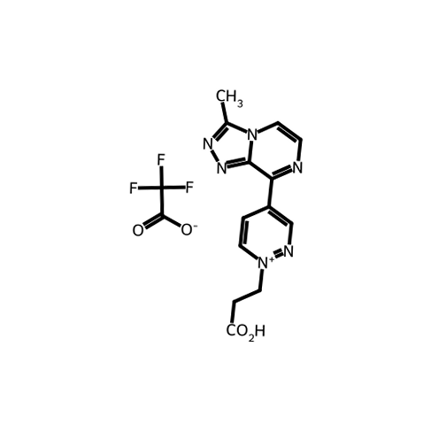 Cc1nnc2c(-c3cc[n+](CCC(=O)O)nc3)nccn12.O=C([O-])C(F)(F)F